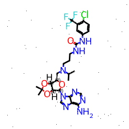 CC(C)N(CCCNC(=O)Nc1ccc(Cl)c(C(F)(F)F)c1)C[C@H]1O[C@@H](n2cnc3c(N)ncnc32)[C@@H]2OC(C)(C)O[C@@H]21